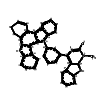 CN1C(Cl)=NC(c2cccc(-n3c4ccccc4c4c5c(c6sc7ccccc7c6c43)CCC=C5)c2)=C2c3ccccc3SC21